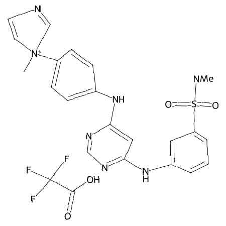 CNS(=O)(=O)c1cccc(Nc2cc(Nc3ccc([N+]4(C)C=CN=C4)cc3)ncn2)c1.O=C(O)C(F)(F)F